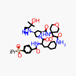 CC(C)S(=O)(=O)c1ccc(C(=O)NC(CC2CCCCC2)C(=O)N2C[C@@H](n3nncc3C(C)(C)O)C[C@H]2C(=O)NC2(C(=O)C(N)=O)CCOCC2)cc1